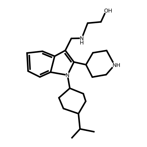 CC(C)C1CCC(n2c(C3CCNCC3)c(CNCCO)c3ccccc32)CC1